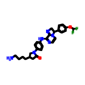 NCCCCC1CC(=O)N(c2ccc(NC3=NC=CN4C3=NCC4c3ccc(OC(F)F)cc3)cc2)C1